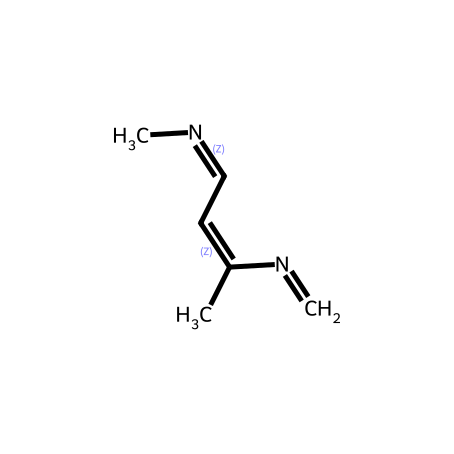 C=N/C(C)=C\C=N/C